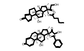 CCCCC(=O)O[C@]1(C(=O)CO)[C@@H](C)C[C@H]2[C@@H]3CCC4=CC(=O)C=C[C@]4(C)[C@@]3(F)[C@@H](O)C[C@@]21C.C[C@H]1C[C@H]2[C@@H]3CCC4=CC(=O)C=C[C@]4(C)[C@@]3(F)[C@@H](O)C[C@]2(C)[C@@]1(OC(=O)c1ccccc1)C(=O)CO